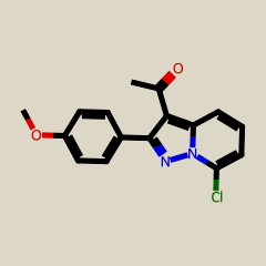 COc1ccc(-c2nn3c(Cl)cccc3c2C(C)=O)cc1